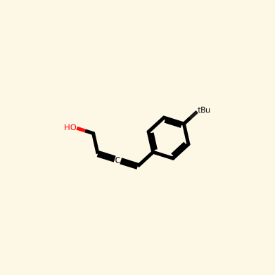 CC(C)(C)c1ccc(C=C=CCO)cc1